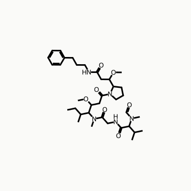 CCC(C)C(C(CC(=O)N1CCCC1C(CC(=O)NCCCc1ccccc1)OC)OC)N(C)C(=O)CNC(=O)C(C(C)C)N(C)C=O